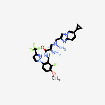 COc1ccc(-n2ccc(C(F)(F)F)n2)c(CNC(=O)/C(N)=C/N(N)Cc2cn3cc(C4CC4)ccc3n2)c1F